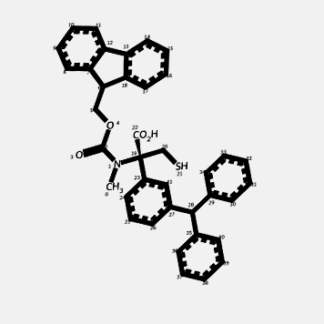 CN(C(=O)OCC1c2ccccc2-c2ccccc21)[C@@](CS)(C(=O)O)c1cccc(C(c2ccccc2)c2ccccc2)c1